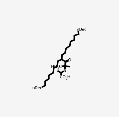 CCCCCCCCCCCCCCCCCCC(CCCCCCCCCCCCCCCCCC)C(=O)C(C)(SC(C)C(=O)O)C(=O)O